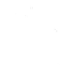 CC(C)(C)c1ccc(Nc2ccc(SI)cc2)cc1